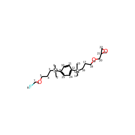 C[Si](C)(CCCOCF)c1ccc([Si](C)(C)CCCOCC2CO2)cc1